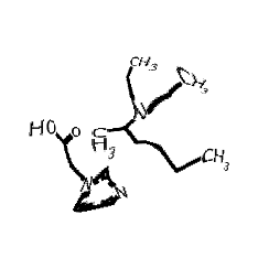 CCCCC(C)N(CC)CC.O=C(O)Cn1ccnc1